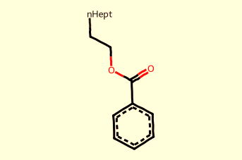 CCCCCCCCCOC(=O)c1ccccc1